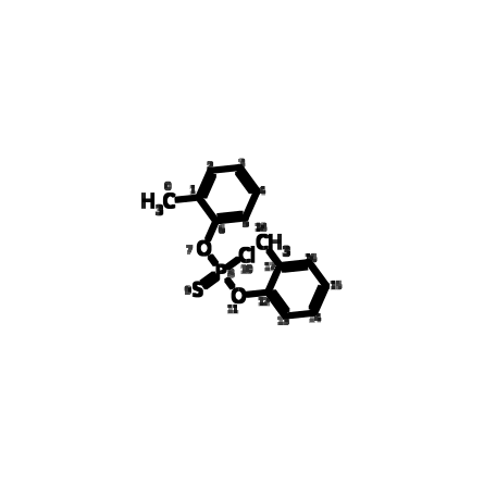 Cc1ccccc1OP(=S)(Cl)Oc1ccccc1C